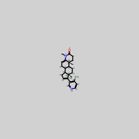 CN1C(=O)CC[C@@]2(C)C1=CCC1C2CC[C@]2(C)C(c3cnccc3F)=CCC12